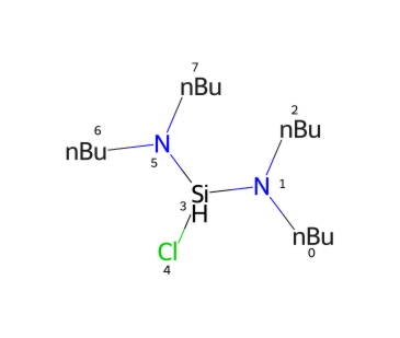 CCCCN(CCCC)[SiH](Cl)N(CCCC)CCCC